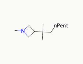 CCCCCCC(C)(C)C1CN(C)C1